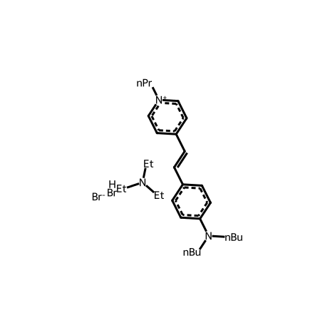 Br.CCCCN(CCCC)c1ccc(C=Cc2cc[n+](CCC)cc2)cc1.CCN(CC)CC.[Br-]